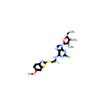 CCOc1ccc2nc(SC[C@@H](C)Nc3nc(Cl)nc4c3ncn4[C@@H]3O[C@H](COC(C)=O)[C@@H](OC(C)=O)[C@H]3OC(C)=O)sc2c1